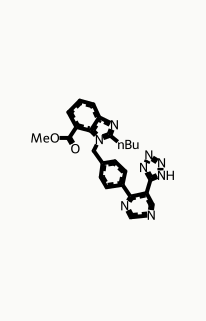 CCCCc1nc2cccc(C(=O)OC)c2n1Cc1ccc(-c2ncncc2-c2nnn[nH]2)cc1